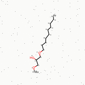 CCCCOCC(O)COCCCCCCCCCC(C)C